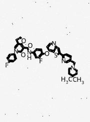 CC1(C)CCN(Cc2ccc(-c3cc4nccc(Oc5ccc(NC(=O)c6c7c(cn(-c8ccc(F)cc8)c6=O)CCO7)cc5F)c4s3)nc2)CC1